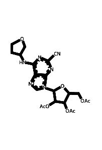 CC(=O)OCC1OC(n2cnc3c(NC4CCOC4)nc(C#N)nc32)C(OC(C)=O)C1OC(C)=O